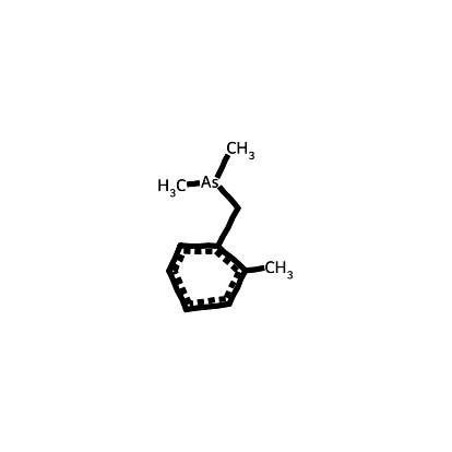 Cc1ccccc1C[As](C)C